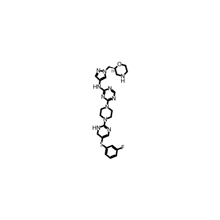 Fc1cccc(SC2=CN=C(N3CCN(c4ncnc(Nc5cnn(C[C@@H]6CNCCO6)c5)n4)CC3)NC2)c1